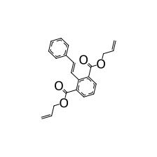 C=CCOC(=O)c1cccc(C(=O)OCC=C)c1C=Cc1ccccc1